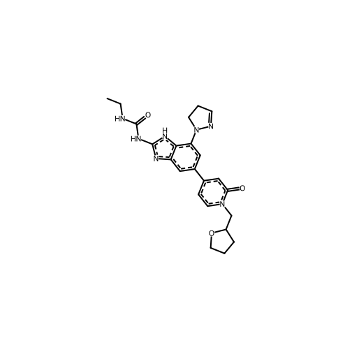 CCNC(=O)Nc1nc2cc(-c3ccn(CC4CCCO4)c(=O)c3)cc(N3CCC=N3)c2[nH]1